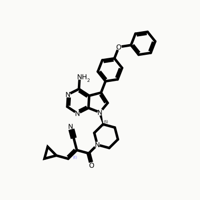 N#C/C(=C\C1CC1)C(=O)N1CCC[C@H](n2cc(-c3ccc(Oc4ccccc4)cc3)c3c(N)ncnc32)C1